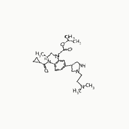 CC(C)OC(=O)N1C[C@H](C)N(C(=O)C2CC2)c2ccc(C3CNN(CCN(C)C)C3)cc21